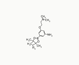 CN(C)CCOc1cc(N)cc(B2OC(C)(C)C(C)(C)O2)c1